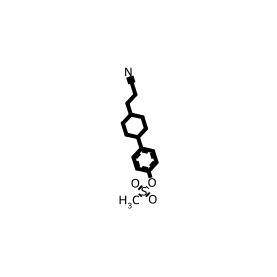 CS(=O)(=O)Oc1ccc(C2CCC(CCC#N)CC2)cc1